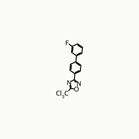 Fc1cccc(-c2ccc(-c3noc(C(Cl)(Cl)Cl)n3)cc2)c1